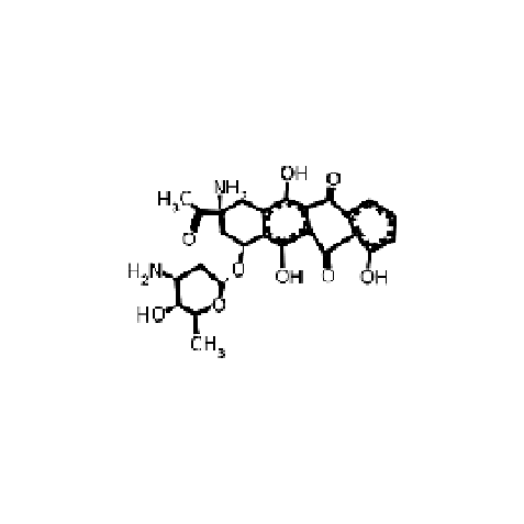 CC(=O)[C@]1(N)Cc2c(O)c3c(c(O)c2[C@@H](O[C@H]2C[C@H](N)[C@H](O)[C@H](C)O2)C1)C(=O)c1c(O)cccc1C3=O